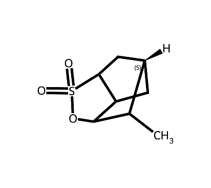 CC1C2OS(=O)(=O)C3C[C@@H]1CC23